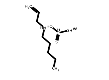 C=CCNCCCCC.O[PH](=S)S.[W]